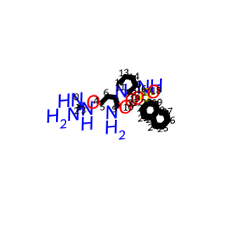 N=C(N)NOCCC(C(N)=O)N1CCC[C@H](NS(=O)(=O)c2ccc3ccccc3c2)C1=O